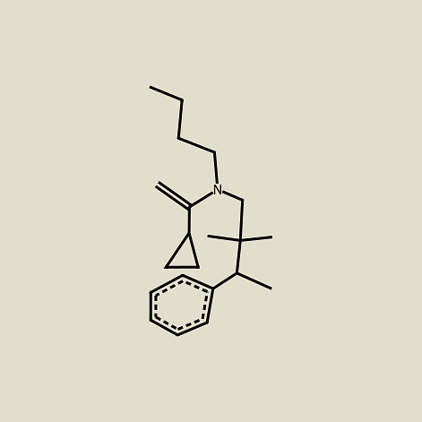 C=C(C1CC1)N(CCCC)CC(C)(C)C(C)c1ccccc1